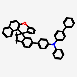 c1ccc(-c2ccc(N(c3ccccc3)c3ccc(-c4ccc5c(c4)C4(c6ccccc6Oc6ccc7ccccc7c64)c4ccccc4-5)cc3)cc2)cc1